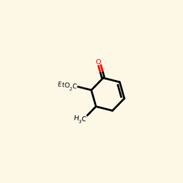 CCOC(=O)C1C(=O)C=CCC1C